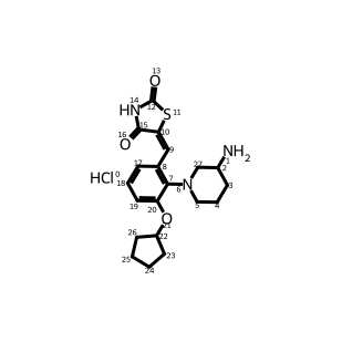 Cl.NC1CCCN(c2c(/C=C3/SC(=O)NC3=O)cccc2OC2CCCC2)C1